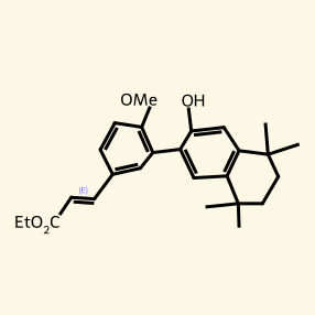 CCOC(=O)/C=C/c1ccc(OC)c(-c2cc3c(cc2O)C(C)(C)CCC3(C)C)c1